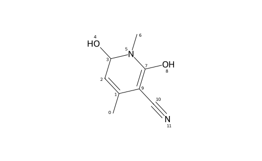 CC1=CC(O)N(C)C(O)=C1C#N